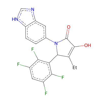 CCC1=C(O)C(=O)N(c2ccc3[nH]cnc3c2)C1c1c(F)c(F)cc(F)c1F